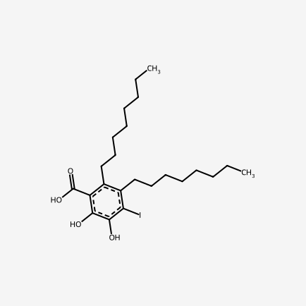 CCCCCCCCc1c(I)c(O)c(O)c(C(=O)O)c1CCCCCCCC